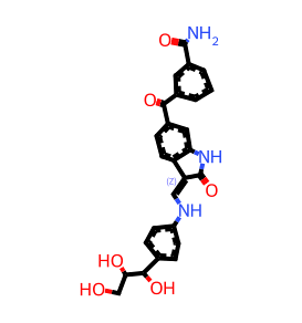 NC(=O)c1cccc(C(=O)c2ccc3c(c2)NC(=O)/C3=C\Nc2ccc(C(O)C(O)CO)cc2)c1